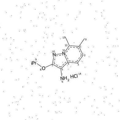 Cc1ccc2c(N)c(OC(C)C)nn2c1C.Cl